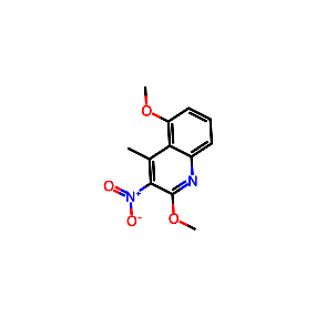 COc1nc2cccc(OC)c2c(C)c1[N+](=O)[O-]